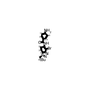 CC(C)(C)Cn1nnc2c(Br)c(NC(=O)c3ccc(N)cc3)ccc21